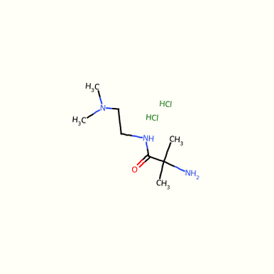 CN(C)CCNC(=O)C(C)(C)N.Cl.Cl